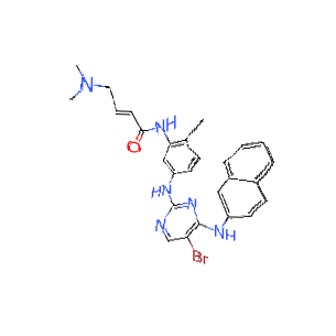 Cc1ccc(Nc2ncc(Br)c(Nc3ccc4ccccc4c3)n2)cc1NC(=O)/C=C/CN(C)C